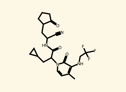 Cc1ccn(C(CC2CC2)C(=O)NC(C#N)CC2CCCC2=O)c(=O)c1NCC(F)(F)F